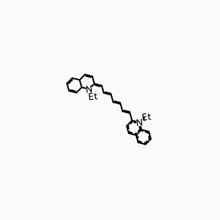 CCN1C(=CC=CC=CC=Cc2ccc3ccccc3[n+]2CC)C=CC2C=CC=CC21